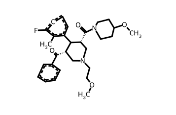 COCCN1C[C@H](C(=O)c2ccccc2)C(c2cccc(F)c2C)[C@H](C(=O)N2CCC(OC)CC2)C1